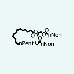 CCCCC/C=C\C/C=C\C/C=C\CCCCC(=O)OC(COC(=O)CCCCCCCCC)COC(=O)CCCCCCCCC